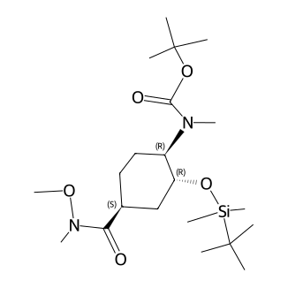 CON(C)C(=O)[C@H]1CC[C@@H](N(C)C(=O)OC(C)(C)C)[C@H](O[Si](C)(C)C(C)(C)C)C1